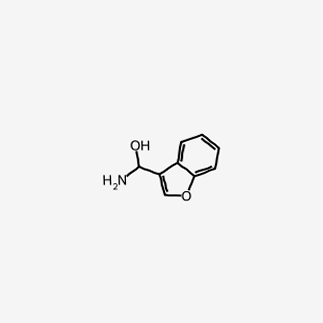 NC(O)c1coc2ccccc12